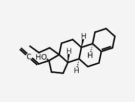 C=C=C[C@]1(O)CC[C@H]2[C@@H]3CCC4=CCCC[C@@H]4[C@H]3CCC21CCC